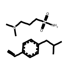 C=Cc1ccc(CC(C)C)cc1.CN(C)CCCS(N)(=O)=O